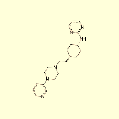 c1cnc(N[C@H]2CC[C@H](CCN3CCN(c4cccnc4)CC3)CC2)nc1